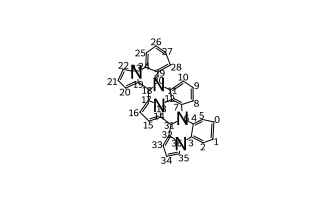 c1ccc2c(c1)N1c3cccc4c3-n3c(ccc3C3c5cccn5-c5ccccc5N43)C1c1cccn1-2